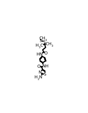 CSSC(C)(C)CCC(=O)Nc1ccc(NC(=O)c2csc(N)n2)cc1